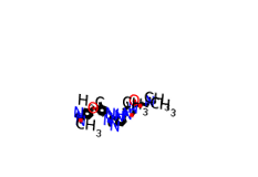 Cc1cc(Nc2ncnc3ccc(N4CCN(C(=O)/C=C/CN(C)C)[C@H](C)C4)nc23)ccc1Oc1ccc2c(c1)ncn2C